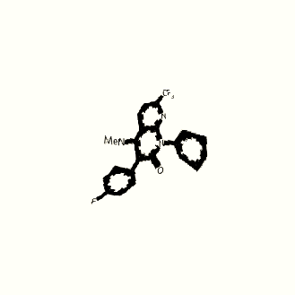 CNc1c(-c2ccc(F)cc2)c(=O)n(-c2ccccc2)c2nc(C(F)(F)F)ccc12